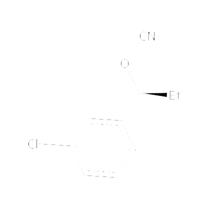 CC[C@H](OC#N)c1cccc(Cl)c1